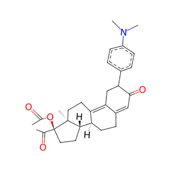 CC(=O)O[C@]1(C(C)=O)CC[C@H]2[C@@H]3CCC4=CC(=O)C(c5ccc(N(C)C)cc5)CC4=C3CC[C@@]21C